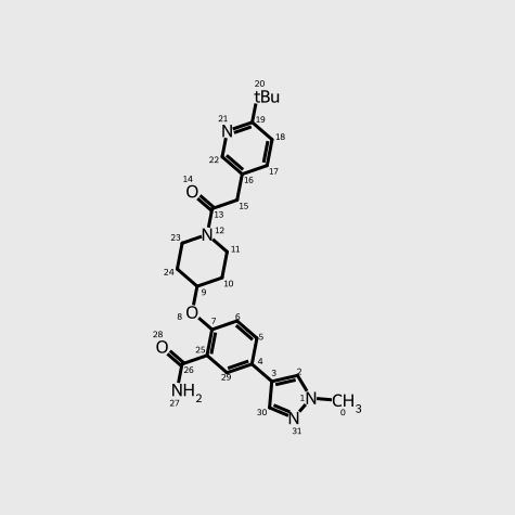 Cn1cc(-c2ccc(OC3CCN(C(=O)Cc4ccc(C(C)(C)C)nc4)CC3)c(C(N)=O)c2)cn1